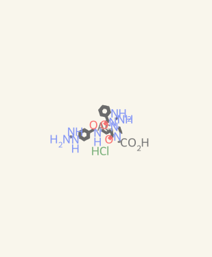 CC(=O)[C@@]1(CCNC(=O)c2ccc(NC(=N)N)cc2)C(=O)N(CC(=O)O)CCN1N(C(=N)N)C(=O)c1ccccc1.Cl